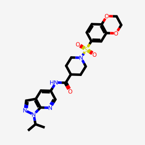 CC(C)n1ncc2cc(NC(=O)C3CCN(S(=O)(=O)c4ccc5c(c4)OCCO5)CC3)cnc21